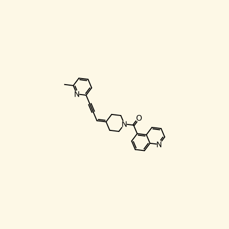 Cc1cccc(C#CC=C2CCN(C(=O)c3cccc4ncccc34)CC2)n1